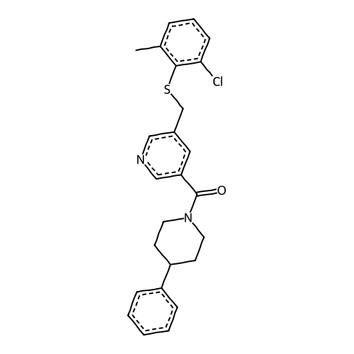 Cc1cccc(Cl)c1SCc1cncc(C(=O)N2CCC(c3ccccc3)CC2)c1